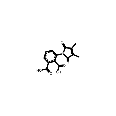 CC1=C(C)C(=O)N(c2cccc(C(=O)O)c2C(=O)O)C1=O